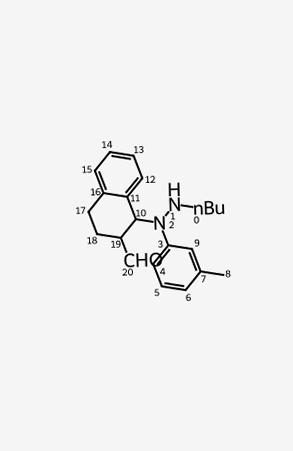 CCCCNN(c1cccc(C)c1)C1c2ccccc2CCC1C=O